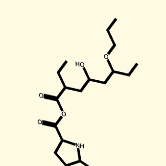 CCCOC(CC)CC(O)CC(CC)C(=O)OC(=O)C1CCC(O)N1